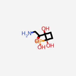 NCC(=O)C1(O)CC[C@]1(O)PO